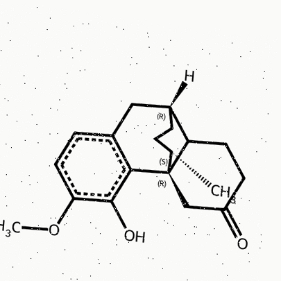 COc1ccc2c(c1O)[C@@]13CC(=O)CCC1[C@H](CC[C@@H]3C)C2